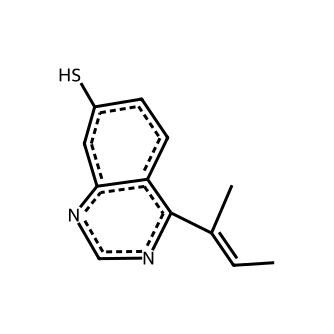 C/C=C(\C)c1ncnc2cc(S)ccc12